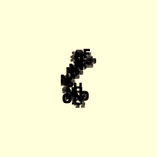 O=C1CCC[C@H](C(=O)NCc2cnc(-c3ccc(NCC4(c5ncccc5F)CCC4)nn3)s2)N1